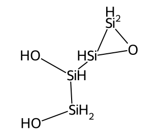 O[SiH2][SiH](O)[SiH]1O[SiH2]1